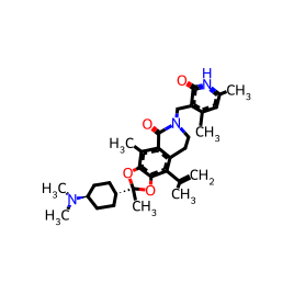 C=C(C)c1c2c(c(C)c3c1OC(C)([C@H]1CC[C@H](N(C)C)CC1)O3)C(=O)N(Cc1c(C)cc(C)[nH]c1=O)CC2